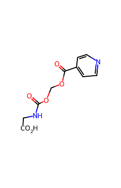 O=C(O)CNC(=O)OCOC(=O)c1ccncc1